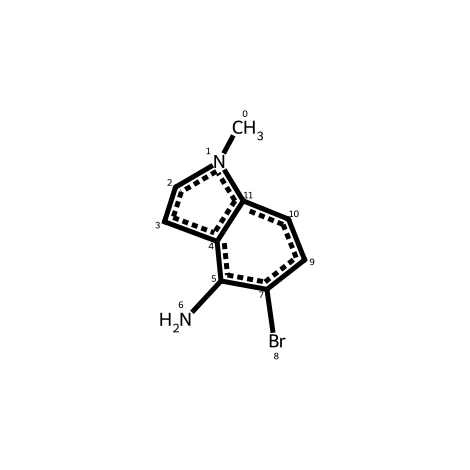 Cn1ccc2c(N)c(Br)ccc21